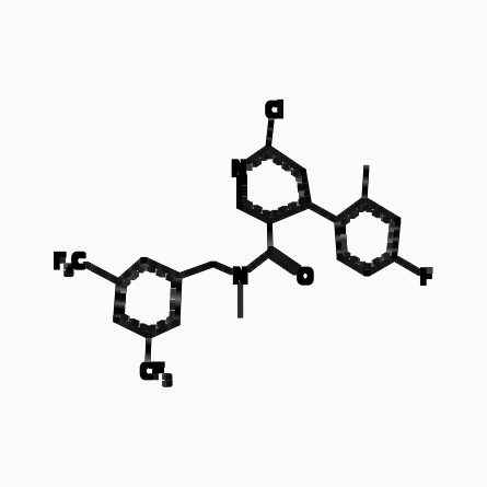 Cc1cc(F)ccc1-c1cc(Cl)ncc1C(=O)N(C)Cc1cc(C(F)(F)F)cc(C(F)(F)F)c1